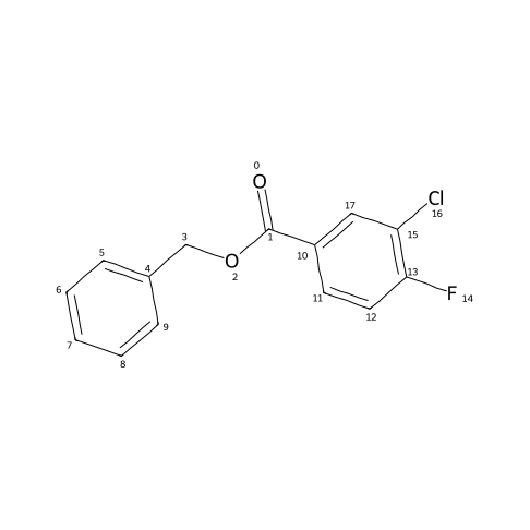 O=C(OCc1ccccc1)c1ccc(F)c(Cl)c1